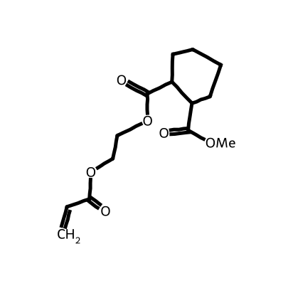 C=CC(=O)OCCOC(=O)C1CCCCC1C(=O)OC